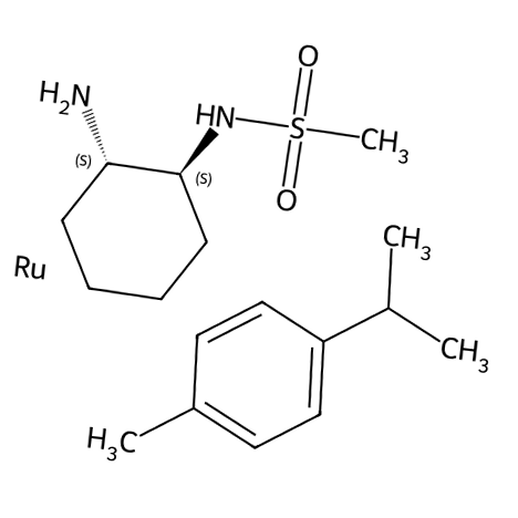 CS(=O)(=O)N[C@H]1CCCC[C@@H]1N.Cc1ccc(C(C)C)cc1.[Ru]